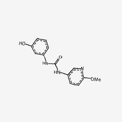 COc1ccc(NC(=O)Nc2cccc(O)c2)cn1